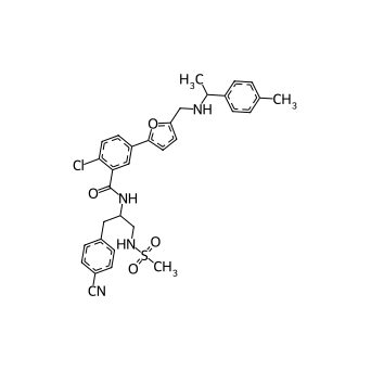 Cc1ccc(C(C)NCc2ccc(-c3ccc(Cl)c(C(=O)NC(CNS(C)(=O)=O)Cc4ccc(C#N)cc4)c3)o2)cc1